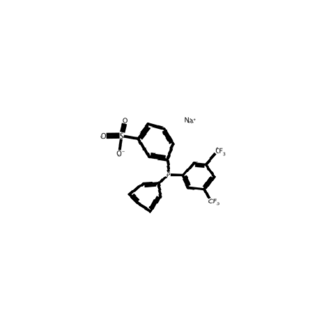 O=S(=O)([O-])c1cccc(P(c2ccccc2)c2cc(C(F)(F)F)cc(C(F)(F)F)c2)c1.[Na+]